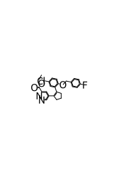 CCOC(=O)c1cc(C2=C(c3cc(Cl)ccc3OCc3ccc(F)cc3)CCC2)cnn1